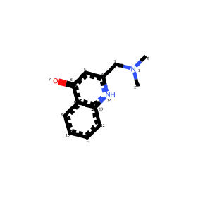 CN(C)Cc1cc(=O)c2ccccc2[nH]1